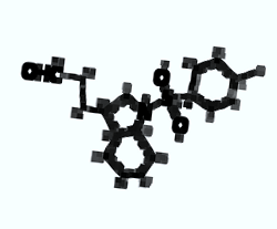 Cc1ccc(S(=O)(=O)n2cc(CCC=O)c3ccccc32)cc1